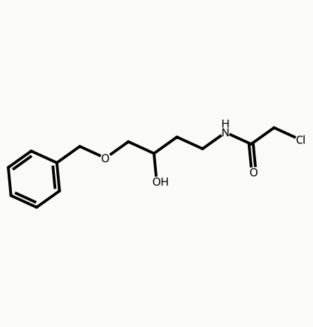 O=C(CCl)NCCC(O)COCc1ccccc1